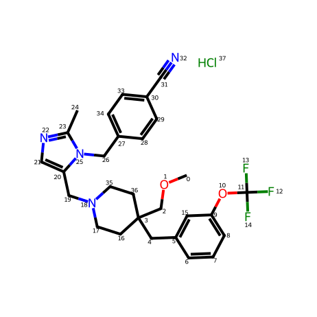 COCC1(Cc2cccc(OC(F)(F)F)c2)CCN(Cc2cnc(C)n2Cc2ccc(C#N)cc2)CC1.Cl